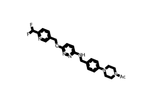 CC(=O)N1CCN(c2ccc(CNc3ccc(OCc4ccc(C(F)F)nc4)nn3)cc2)CC1